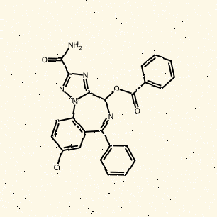 NC(=O)c1nc2n(n1)-c1ccc(Cl)cc1C(c1ccccc1)=NC2OC(=O)c1ccccc1